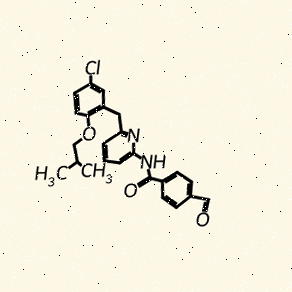 CC(C)COc1ccc(Cl)cc1Cc1cccc(NC(=O)c2ccc(C=O)cc2)n1